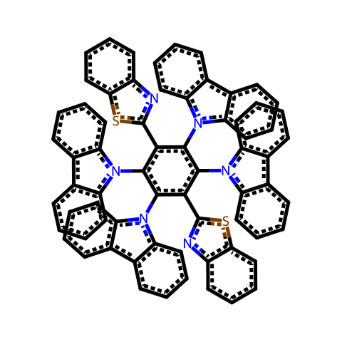 c1ccc2sc(-c3c(-n4c5ccccc5c5ccccc54)c(-n4c5ccccc5c5ccccc54)c(-c4nc5ccccc5s4)c(-n4c5ccccc5c5ccccc54)c3-n3c4ccccc4c4ccccc43)nc2c1